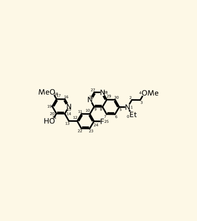 CCN(CCOC)c1ccc2c(-c3cc(Cc4ncc(OC)cc4O)ccc3F)ncnc2c1